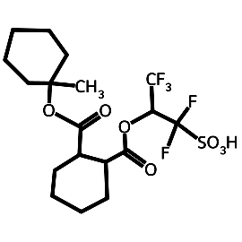 CC1(OC(=O)C2CCCCC2C(=O)OC(C(F)(F)F)C(F)(F)S(=O)(=O)O)CCCCC1